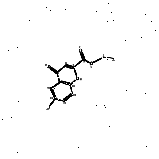 CCOC(=O)c1cc(=O)c2cc(I)ccc2o1